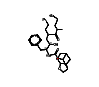 CC(C)CCN(C[C@@H](O)[C@H](Cc1ccccc1)NC(=O)OC1C2COC3OCC1C3C2)C(=O)N(C)CCC(C)(C)C